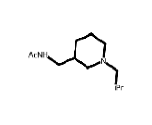 CC(=O)NCC1CCCN(CC(C)C)C1